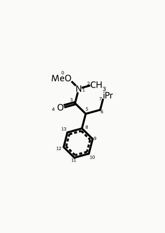 CON(C)C(=O)C(CC(C)C)c1ccccc1